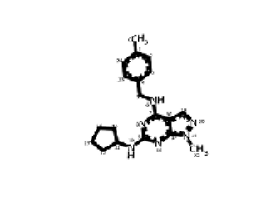 Cc1ccc(CNc2nc(NC3CCCC3)nc3c2cnn3C)cc1